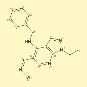 CCn1ncc2c(NCc3ccccc3)c(/C=N\O)cnc21